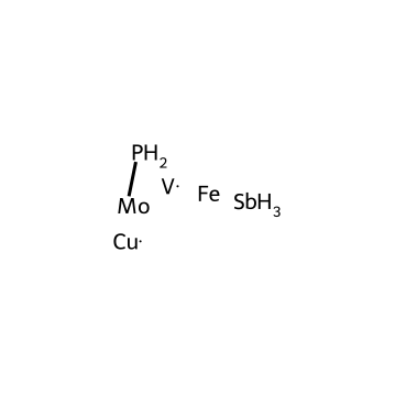 [Cu].[Fe].[PH2][Mo].[SbH3].[V]